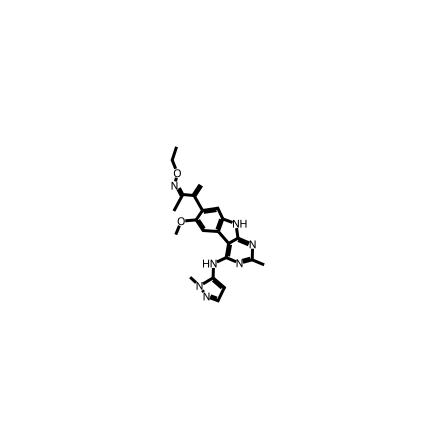 C=C(/C(C)=N\OCC)c1cc2[nH]c3nc(C)nc(Nc4ccnn4C)c3c2cc1OC